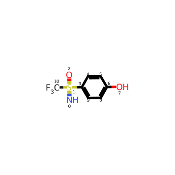 N=S(=O)(c1ccc(O)cc1)C(F)(F)F